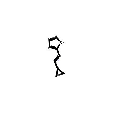 C(=C\C1CC1)/c1cccs1